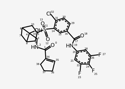 O=C(NCC1(O)C2CC1CC(S(=O)(=O)c1cc(C(=O)Nc3cc(F)c(F)c(F)c3)ccc1Cl)C2)C1=CCCC1